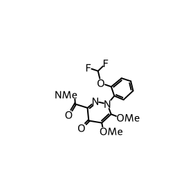 CNC(=O)c1nn(-c2ccccc2OC(F)F)c(OC)c(OC)c1=O